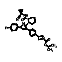 CC(C)OC(=O)N1CC(c2ccc(-c3cn(-c4ccc(F)cc4)nc3[C@@H]3CCCC[C@H]3C(=O)NC3(C#N)CC3)cc2)C1